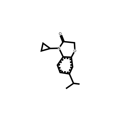 CC(C)c1ccc2c(c1)OCC(=O)N2C1CC1